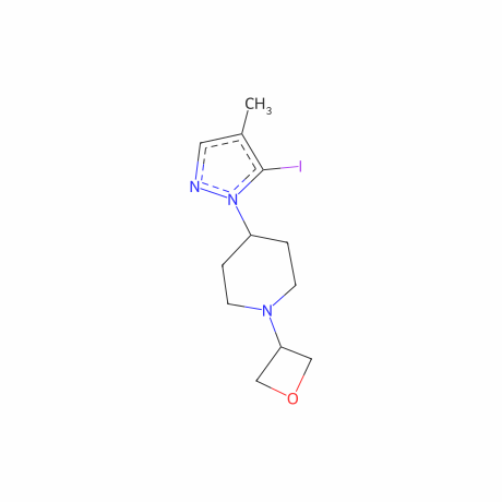 Cc1cnn(C2CCN(C3COC3)CC2)c1I